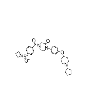 O=C(c1ccc([S+]([O-])N2CCC2)cc1)N1CCN(c2ccc(OC3CCN(C4CCCC4)CC3)cc2)C(=O)C1